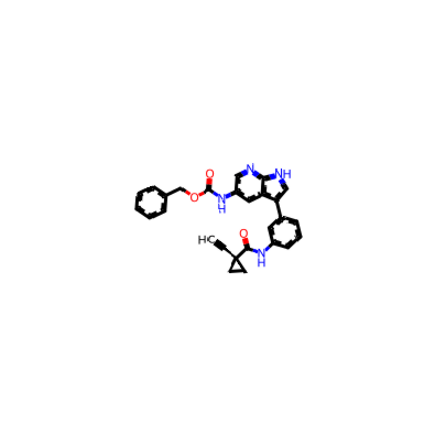 C#CC1(C(=O)Nc2cccc(-c3c[nH]c4ncc(NC(=O)OCc5ccccc5)cc34)c2)CC1